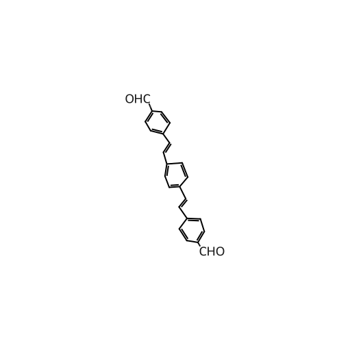 O=Cc1ccc(/C=C/c2ccc(/C=C/c3ccc(C=O)cc3)cc2)cc1